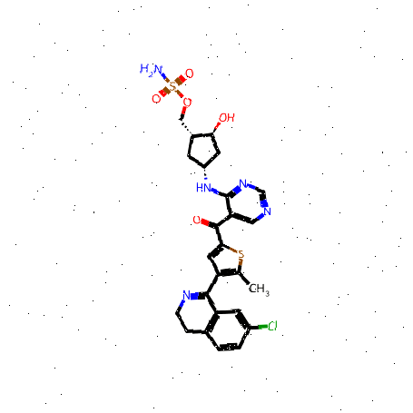 Cc1sc(C(=O)c2cncnc2N[C@@H]2C[C@H](COS(N)(=O)=O)[C@@H](O)C2)cc1C1=NCCc2ccc(Cl)cc21